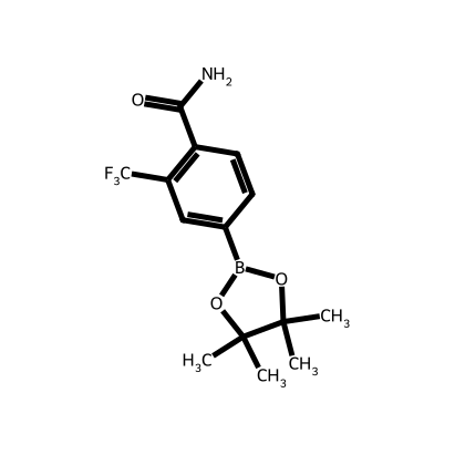 CC1(C)OB(c2ccc(C(N)=O)c(C(F)(F)F)c2)OC1(C)C